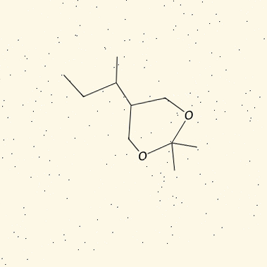 CCC(C)C1COC(C)(C)OC1